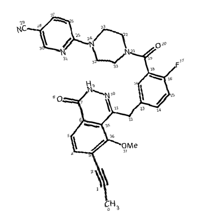 CC#Cc1ccc2c(=O)[nH]nc(Cc3ccc(F)c(C(=O)N4CCN(c5ccc(C#N)cn5)CC4)c3)c2c1OC